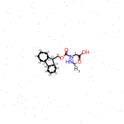 CNN(CC(=O)O)C(=O)OCC1c2ccccc2-c2ccccc21